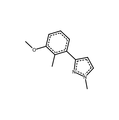 COc1cccc(-c2ccn(C)n2)c1C